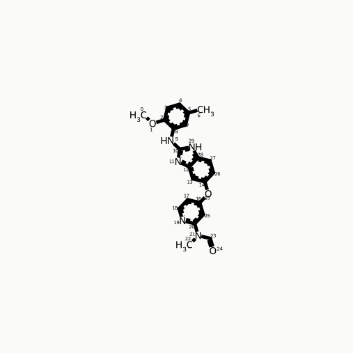 COc1ccc(C)cc1Nc1nc2cc(Oc3ccnc(N(C)C=O)c3)ccc2[nH]1